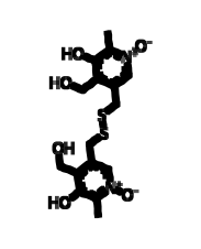 Cc1c(O)c(CO)c(CSSCc2c[n+]([O-])c(C)c(O)c2CO)c[n+]1[O-]